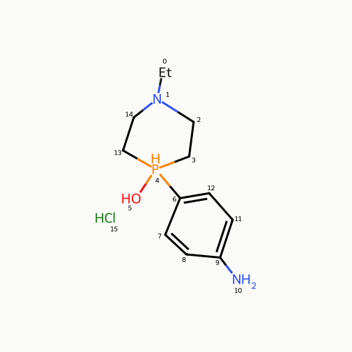 CCN1CC[PH](O)(c2ccc(N)cc2)CC1.Cl